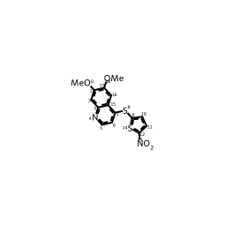 COc1cc2nccc(Sc3ccc([N+](=O)[O-])s3)c2cc1OC